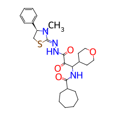 CN1/C(=N/NC(=O)C(=O)C(NC(=O)C2CCCCCC2)C2CCOCC2)SC[C@H]1c1ccccc1